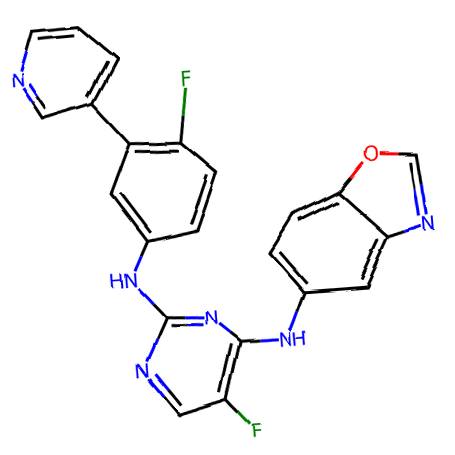 Fc1ccc(Nc2ncc(F)c(Nc3ccc4ocnc4c3)n2)cc1-c1cccnc1